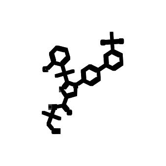 CC(C)(CO)NC(=O)c1cn(-c2ccc(-c3cccc(S(C)(=O)=O)c3)cc2)c(C(C)(C)c2ccccc2Cl)n1